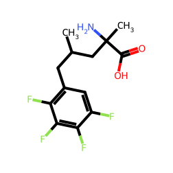 CC(Cc1cc(F)c(F)c(F)c1F)CC(C)(N)C(=O)O